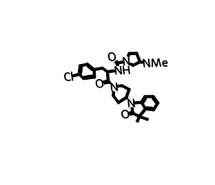 CNC1CCN(C(=O)NC(Cc2ccc(Cl)cc2)C(=O)N2CCC(N3C(=O)C(C)(C)c4ccccc43)CC2)C1